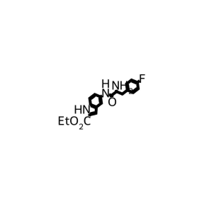 CCOC(=O)c1cc2cc(NC(=O)C(N)Cc3ccc(F)cc3)ccc2[nH]1